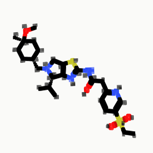 CCS(=O)(=O)c1ccc(CC(=O)Nc2nc3c(s2)CN(C[C@H]2CC[C@](C)(OC)CC2)[C@H]3C(C)C)nc1